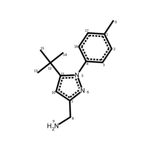 Cc1ccc(-n2nc(CN)cc2C(C)(C)C)cc1